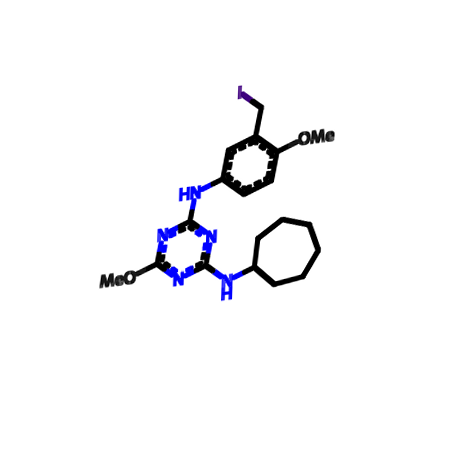 COc1nc(Nc2ccc(OC)c(CI)c2)nc(NC2CCCCCC2)n1